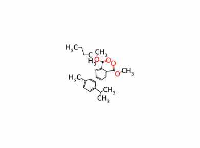 CCCC.COC(=O)c1ccccc1C(=O)OC.Cc1ccc(C(C)C)cc1